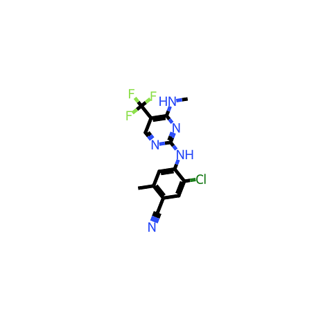 CNc1nc(Nc2cc(C)c(C#N)cc2Cl)ncc1C(F)(F)F